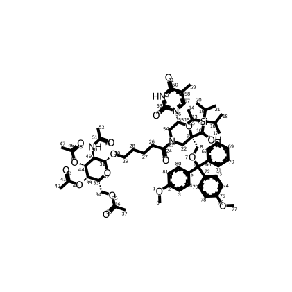 COc1ccc(C(OC[C@]2(C(O)[Si](C(C)C)(C(C)C)C(C)C)CN(C(=O)CCCCO[C@@H]3O[C@H](COC(C)=O)[C@H](OC(C)=O)[C@H](OC(C)=O)[C@H]3NC(C)=O)C[C@H](n3cc(C)c(=O)[nH]c3=O)O2)(c2ccccc2)c2ccc(OC)cc2)cc1